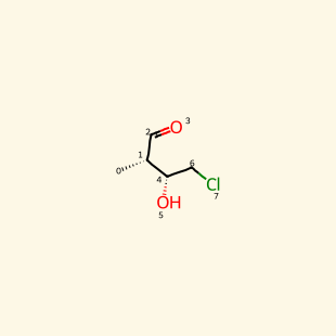 C[C@H]([C]=O)[C@@H](O)CCl